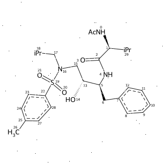 CC(=O)N[C@H](C(=O)N[C@@H](Cc1ccccc1)[C@H](O)CN(CC(C)C)S(=O)(=O)c1ccc(C)cc1)C(C)C